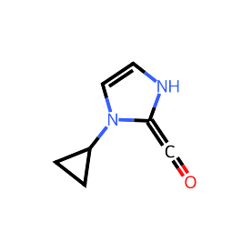 O=C=C1NC=CN1C1CC1